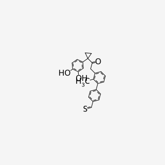 Cc1c(CC(=O)C2(c3ccc(O)c(O)c3)CC2)cccc1-c1ccc(C=S)cc1